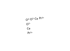 [Ce].[Ce].[O-2].[O-2].[O-2].[Pr+3].[Pr+3]